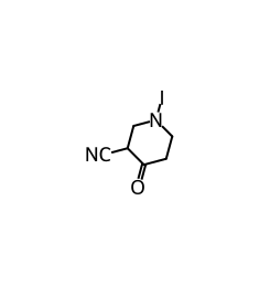 N#CC1CN(I)CCC1=O